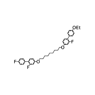 CCOc1ccc(-c2ccc(OCCCCCCCCCOc3ccc(-c4ccc(F)cc4)c(F)c3)cc2F)cc1